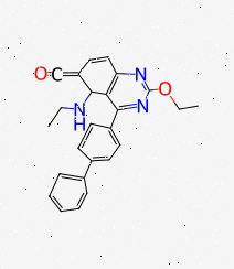 CCNC1C(=C=O)C=Cc2nc(OCC)nc(-c3ccc(-c4ccccc4)cc3)c21